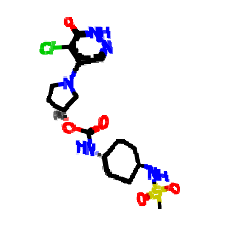 CS(=O)(=O)N[C@H]1CC[C@H](NC(=O)O[C@@H]2CCN(c3cn[nH]c(=O)c3Cl)C2)CC1